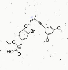 CCO[C@@H](Cc1ccc(OC/C=C(/C)C#Cc2cc(OC)cc(OC)c2)c(Br)c1)C(=O)O